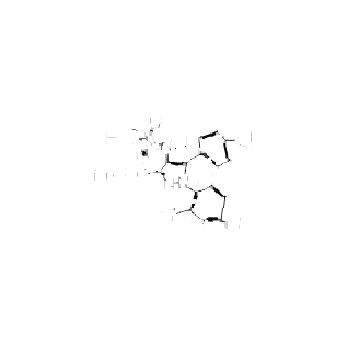 CCOC(=O)c1nn(-c2ccc(Cl)cc2Cl)c(-c2ccc(Cl)cc2)c1NS(C)(=O)=O